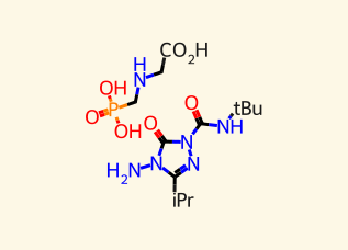 CC(C)c1nn(C(=O)NC(C)(C)C)c(=O)n1N.O=C(O)CNCP(=O)(O)O